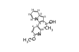 COc1ccc(-c2c(C(C)O)cc3ccccn23)cn1